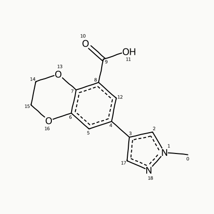 Cn1cc(-c2cc3c(c(C(=O)O)c2)OCCO3)cn1